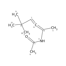 CC(=O)NC(C)=C=CC(C)(C)C